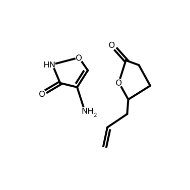 C=CCC1CCC(=O)O1.Nc1co[nH]c1=O